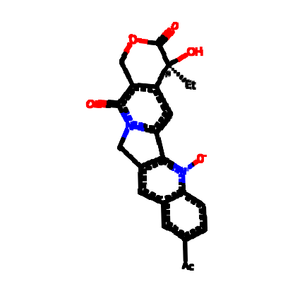 CC[C@@]1(O)C(=O)OCc2c1cc1n(c2=O)Cc2cc3cc(C(C)=O)ccc3[n+]([O-])c2-1